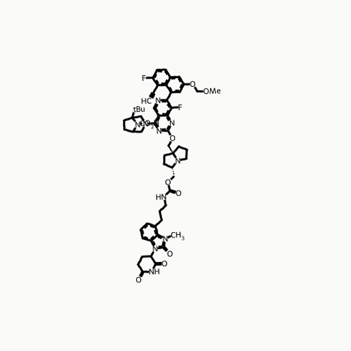 C#Cc1c(F)ccc2cc(OCOC)cc(-c3ncc4c(N5CC6CCC(C(C)(C)C)(C5)N6C(=O)O)nc(OC[C@@]56CCCN5[C@H](COC(=O)NCCCc5cccc7c5n(C)c(=O)n7C5CCC(=O)NC5=O)CC6)nc4c3F)c12